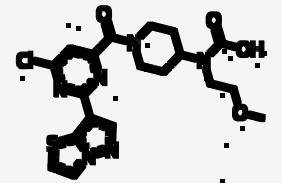 COCCN(C(=O)O)C1CCN(C(=O)c2cc(Cl)nc(-c3cnn4ccsc34)n2)CC1